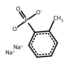 Cc1ccccc1P(=O)([O-])[O-].[Na+].[Na+]